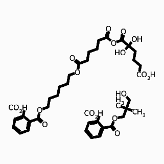 CC(C)(CO)COC(=O)c1ccccc1C(=O)O.O=C(O)CCCC(O)(O)C(=O)OC(=O)CCCCC(=O)OCCCCCCOC(=O)c1ccccc1C(=O)O